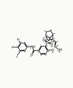 O=C(Nc1cc(F)c(F)c(F)c1)c1ccc(Cl)c(S(=O)(=O)[C@@H]2C3CCC2[C@@H](/C=N/O)C3)c1